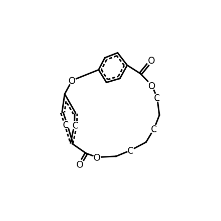 O=C1OCCCCCCOC(=O)c2ccc(cc2)Oc2ccc1cc2